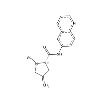 C=C1C[C@@H](C(=O)Nc2ccc3ncccc3c2)N(C(C)=O)C1